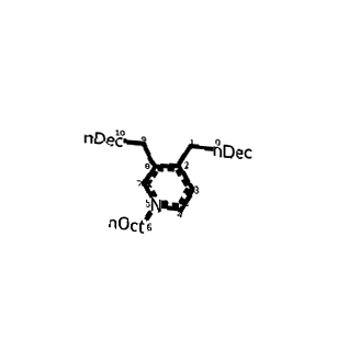 CCCCCCCCCCCc1cc[n+](CCCCCCCC)cc1CCCCCCCCCCC